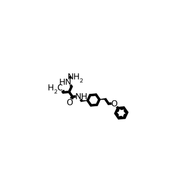 C=CC(CNN)C(=O)NC[C@H]1CC[C@@H](CCOc2ccccc2)CC1